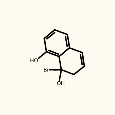 Oc1cccc2c1C(O)(Br)CC=C2